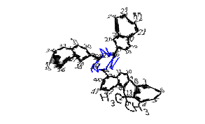 CC1(C)c2ccccc2-c2ccc3c(-c4nc(-c5ccc6ccccc6c5)nc(-c5ccc6ccccc6c5)n4)cccc3c21